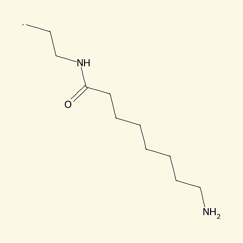 [CH2]CCNC(=O)CCCCCCCN